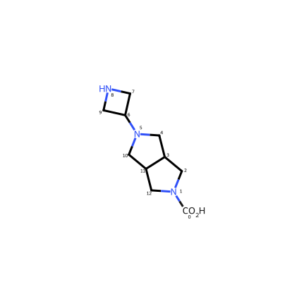 O=C(O)N1CC2CN(C3CNC3)CC2C1